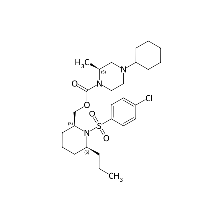 CCC[C@H]1CCC[C@@H](COC(=O)N2CCN(C3CCCCC3)C[C@@H]2C)N1S(=O)(=O)c1ccc(Cl)cc1